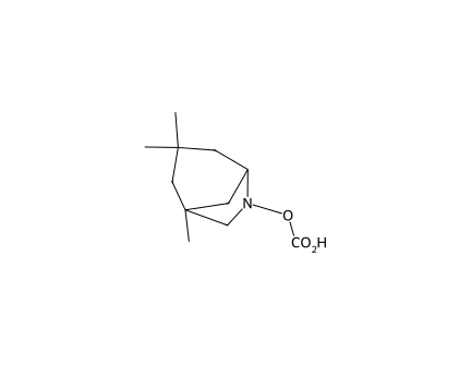 CC1(C)CC2CC(C)(CN2OC(=O)O)C1